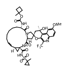 COc1ccc2nc(C(F)(F)F)c3c(c2c1)[C@](C)(O)C[C@]1(C[C@H]2C(=O)N[C@]4(C(=O)NS(=O)(=O)C5(C)CC5)C[C@H]4/C=C\CCCCC[C@H](NC(=O)OC4(C)CCC4)C(=O)N2C1)O3